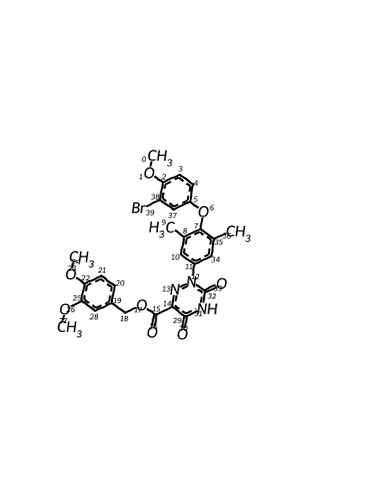 COc1ccc(Oc2c(C)cc(-n3nc(C(=O)OCc4ccc(OC)c(OC)c4)c(=O)[nH]c3=O)cc2C)cc1Br